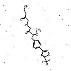 CCOC(=O)CNCC(=O)N(Cc1ccc(-c2noc(C(F)(F)F)n2)cc1)OC